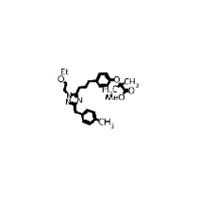 CCOCCn1nc(Cc2ccc(C)cc2)nc1CCCc1ccc(OC(C)(C)C(=O)OC)cc1